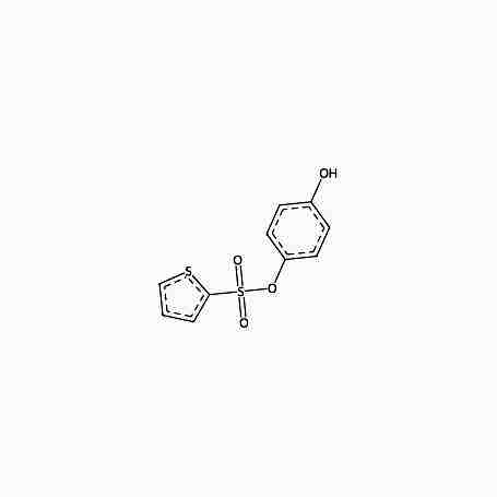 O=S(=O)(Oc1ccc(O)cc1)c1cccs1